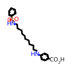 O=C(O)c1ccc(NCCCCCCCCCCCNS(=O)(=O)c2ccccc2)cc1